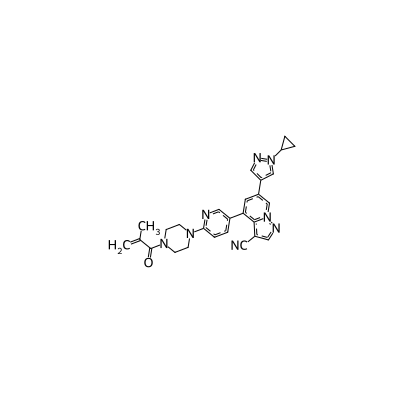 C=C(C)C(=O)N1CCN(c2ccc(-c3cc(-c4cnn(C5CC5)c4)cn4ncc(C#N)c34)cn2)CC1